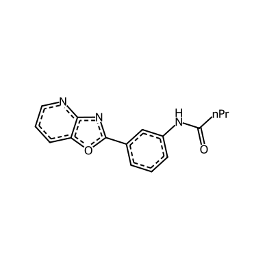 CCCC(=O)Nc1cccc(-c2nc3ncccc3o2)c1